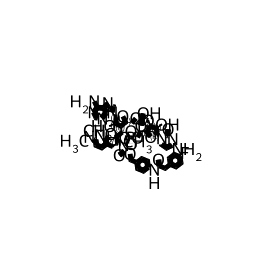 CN(C)c1ccc(C[C@@H](C(=O)C[C@H]2[C@@H](O)[C@H](n3cnc4c(N)ncnc43)O[C@@H]2COP(=O)(O)O[C@H]2[C@@H](O)[C@H](n3ccc(N)nc3=O)O[C@@H]2COP(=O)(O)O)N(C)C(=O)OCc2ccc(NC(=O)Cc3ccc(F)cc3)cc2)cn1